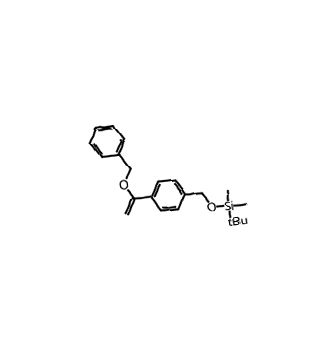 C=C(OCc1ccccc1)c1ccc(CO[Si](C)(C)C(C)(C)C)cc1